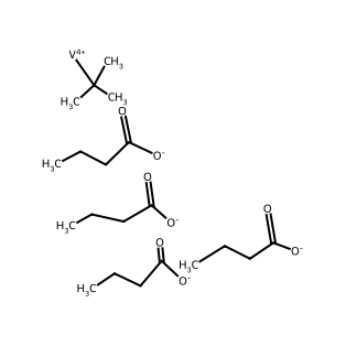 CCCC(=O)[O-].CCCC(=O)[O-].CCCC(=O)[O-].CCCC(=O)[O-].C[C](C)(C)[V+4]